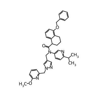 COc1cccc(Cn2cc(CN(C(=O)C3CCCc4c(OCc5ccccc5)cccc43)c3ccc(C(C)C)nc3)cn2)n1